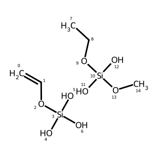 C=CO[Si](O)(O)O.CCO[Si](O)(O)OC